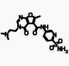 Cc1oc2ncn(CCN(C)C)c(=O)c2c1C(=O)Nc1ccc(S(N)(=O)=O)nc1